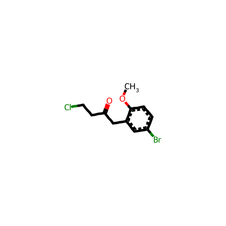 COc1ccc(Br)cc1CC(=O)CCCl